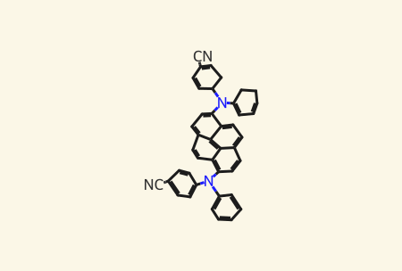 N#CC1=CCC(N(C2=CC=CCC2)c2ccc3ccc4c(N(c5ccccc5)c5ccc(C#N)cc5)ccc5ccc2c3c54)C=C1